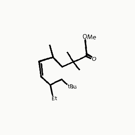 CCC(/C=C\C(C)CC(C)(C)C(=O)OC)CC(C)(C)C